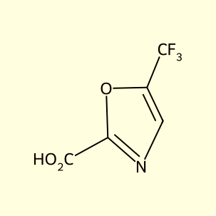 O=C(O)c1ncc(C(F)(F)F)o1